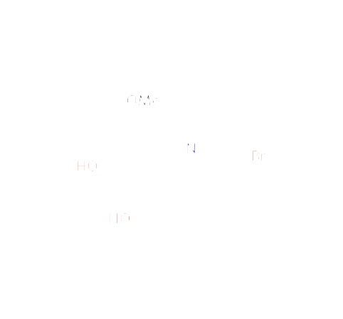 COC(O)c1nc(Br)ccc1O